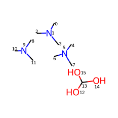 CN(C)C.CN(C)C.CN(C)C.OC(O)O